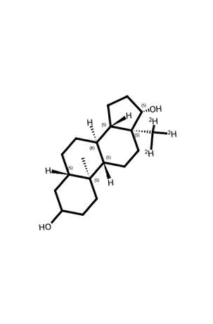 [2H]C([2H])([2H])[C@]12CC[C@H]3[C@@H](CC[C@H]4CC(O)CC[C@@]43C)[C@@H]1CC[C@@H]2O